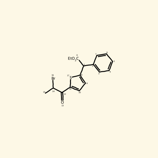 CCOC(=O)C(c1ccccc1)c1ccc(C(=O)C(C)Br)s1